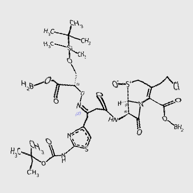 BOC(=O)C1=C(CCl)C[S+]([O-])[C@@H]2[C@H](NC(=O)/C(=N\O[C@@H](CO[Si](C)(C)C(C)(C)C)C(=O)OB)c3csc(NC(=O)OC(C)(C)C)n3)C(=O)N12